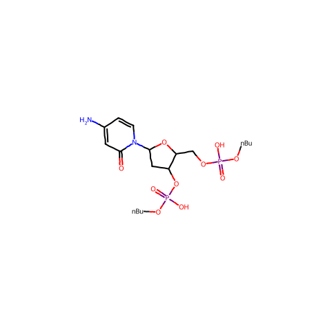 CCCCOP(=O)(O)OCC1OC(n2ccc(N)cc2=O)CC1OP(=O)(O)OCCCC